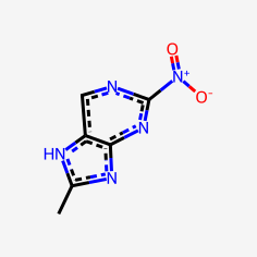 Cc1nc2nc([N+](=O)[O-])ncc2[nH]1